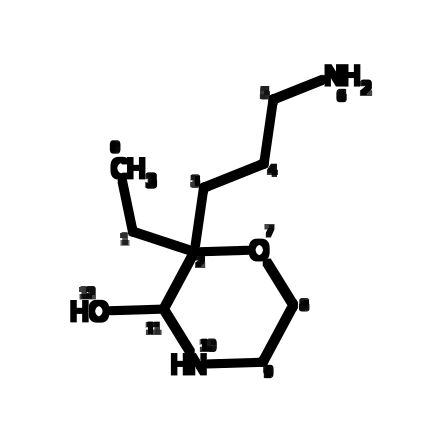 CCC1(CCCN)OCCNC1O